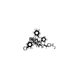 C=CCSc1nnc([C@@H](Cc2ccccc2)NS(=O)(=O)c2ccc(Cl)cc2)n1C1CCCC1